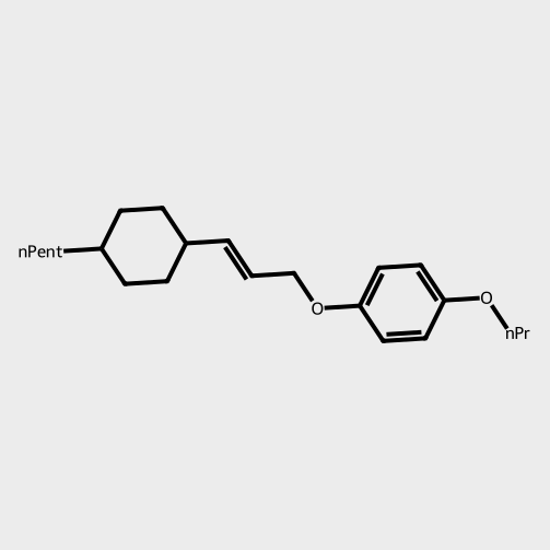 CCCCCC1CCC(/C=C/COc2ccc(OCCC)cc2)CC1